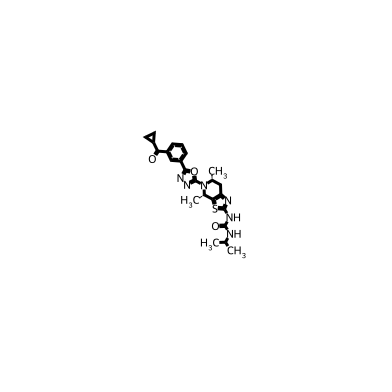 CC(C)NC(=O)Nc1nc2c(s1)[C@H](C)N(c1nnc(-c3cccc(C(=O)C4CC4)c3)o1)[C@H](C)C2